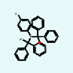 CC(C)C(c1ccccc1)(c1ccccc1)N(c1ccc(Br)cc1)C(c1ccccc1)(c1ccccc1)C(C)C